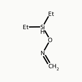 C=NO[SiH](CC)CC